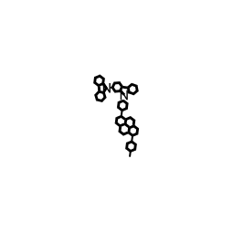 Cc1ccc(-c2ccc3ccc4c(-c5ccc(-n6c7ccccc7c7ccc(-n8c9ccccc9c9ccccc98)cc76)cc5)ccc5ccc2c3c54)cc1